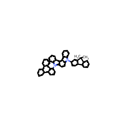 CC1(C)c2ccccc2-c2ccc(-n3c4ccccc4c4c5c6ccccc6n(-c6cccc7c8ccccc8c8ccccc8c67)c5ccc43)cc21